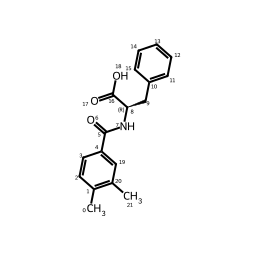 Cc1ccc(C(=O)N[C@H](Cc2ccccc2)C(=O)O)cc1C